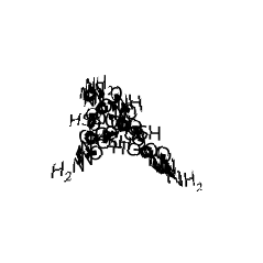 Cc1cn([C@H]2C[C@@H](OP(=O)(S)OC[C@H]3O[C@@H](n4ccc(N)nc4=O)C[C@H]3O)[C@@H](COP(=O)(S)O[C@@H]3C[C@H](n4ccc(N)nc4=O)O[C@@H]3COP(=O)(S)O[C@@H]3C[C@H](n4cnc5c(N)ncnc54)O[C@@H]3CO)O2)c(=O)[nH]c1=O